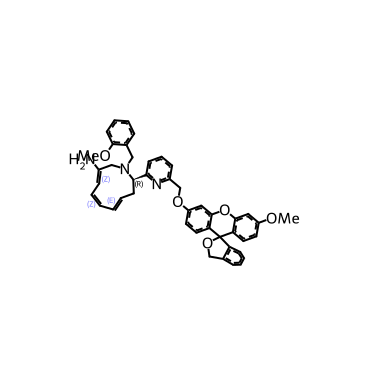 COc1ccc2c(c1)Oc1cc(OCc3cccc([C@H]4C/C=C/C=C\C=C(/N)CN4Cc4ccccc4OC)n3)ccc1C21OCc2ccccc21